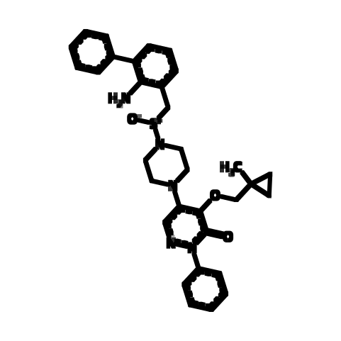 CC1(COc2c(N3CCN([S+]([O-])Cc4cccc(-c5ccccc5)c4N)CC3)cnn(-c3ccccc3)c2=O)CC1